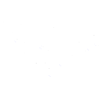 CCC(=O)NCCc1cc2c(N)nc3cc(-c4ccn[nH]4)ccc3c2[nH]1.O